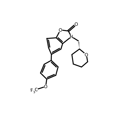 O=c1oc2ccc(-c3ccc(OC(F)(F)F)cc3)cc2n1C[C@H]1CCCCO1